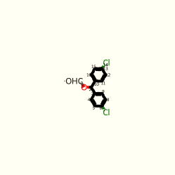 O=[C]OC(c1ccc(Cl)cc1)c1ccc(Cl)cc1